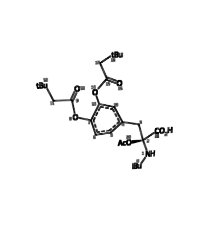 CCC(C)N[C@@](Cc1ccc(OC(=O)CC(C)(C)C)c(OC(=O)CC(C)(C)C)c1)(OC(C)=O)C(=O)O